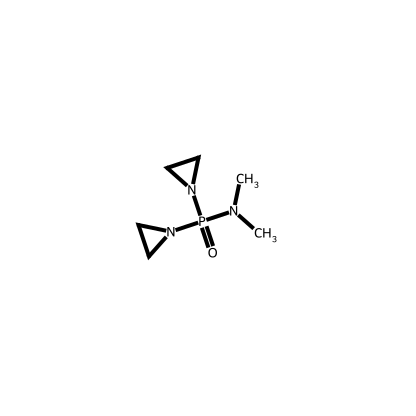 CN(C)P(=O)(N1CC1)N1CC1